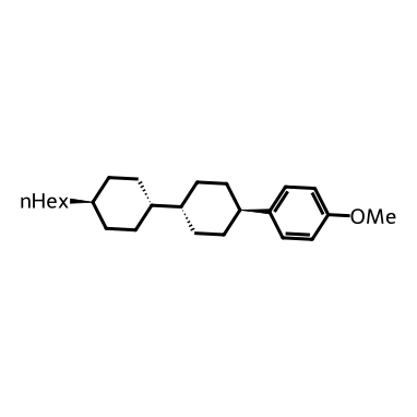 CCCCCC[C@H]1CC[C@H]([C@H]2CC[C@H](c3ccc(OC)cc3)CC2)CC1